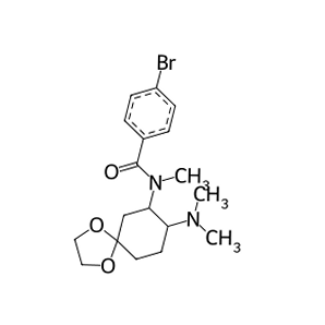 CN(C)C1CCC2(CC1N(C)C(=O)c1ccc(Br)cc1)OCCO2